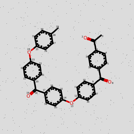 CC(=O)c1ccc(C(=O)c2ccc(Oc3ccc(C(=O)c4ccc(Oc5ccc(C)cc5)cc4)cc3)cc2)cc1